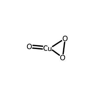 [O]=[Cu]1[O][O]1